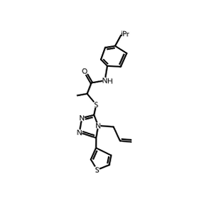 C=CCn1c(SC(C)C(=O)Nc2ccc(C(C)C)cc2)nnc1-c1ccsc1